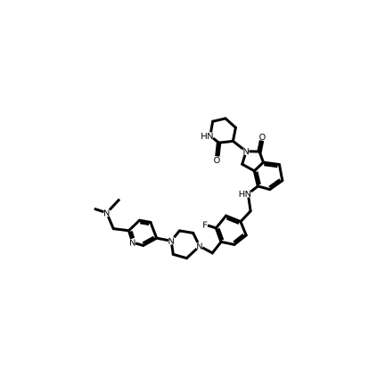 CN(C)Cc1ccc(N2CCN(Cc3ccc(CNc4cccc5c4CN(C4CCCNC4=O)C5=O)cc3F)CC2)cn1